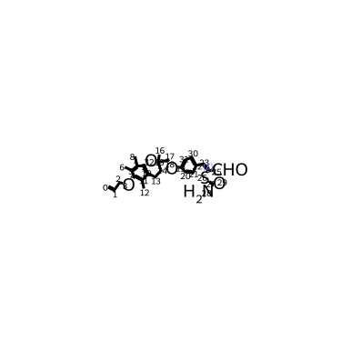 C=CCOc1c(C)c(C)c2c(c1C)CCC(C)(COc1ccc(/C=C(/C=O)SC(N)=O)cc1)O2